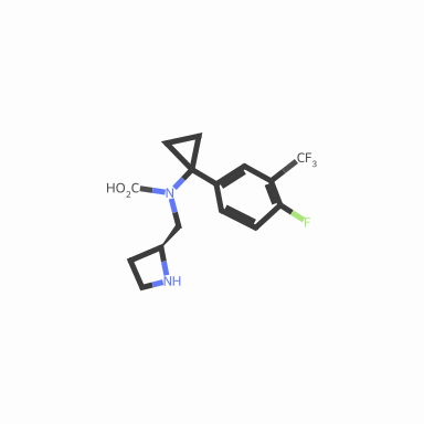 O=C(O)N(C[C@@H]1CCN1)C1(c2ccc(F)c(C(F)(F)F)c2)CC1